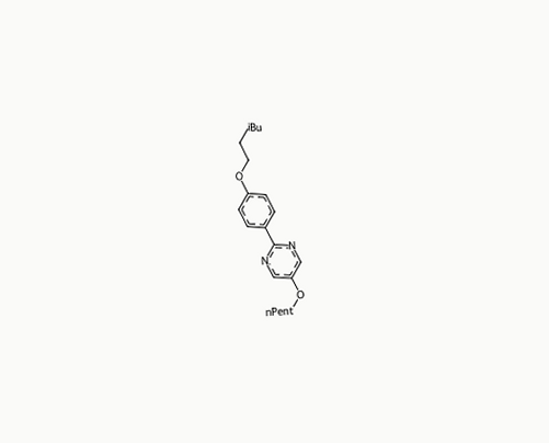 CCCCCOc1cnc(-c2ccc(OCCC(C)CC)cc2)nc1